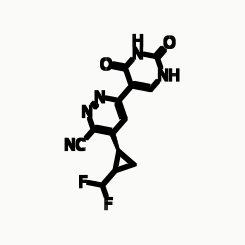 N#Cc1nnc(-c2c[nH]c(=O)[nH]c2=O)cc1[C@H]1CC1C(F)F